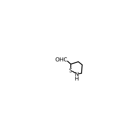 O=CC1CCCNS1